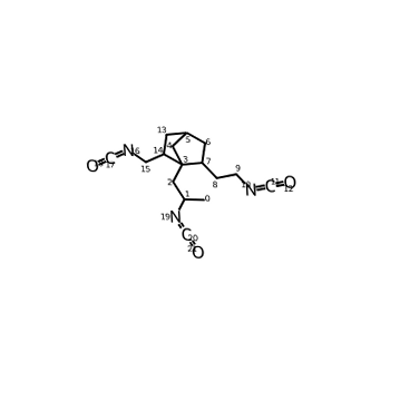 CC(CC12CC(CC1CCN=C=O)CC2CN=C=O)N=C=O